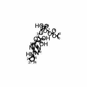 CC(C)OC(=O)OCOP(=O)(O)COC[C@H]1O[C@@H](c2cnc3c(NC4CCCC4)ncnn23)[C@H](O)[C@@H]1O